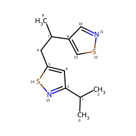 CC(C)c1cc(CC(C)c2cnsc2)sn1